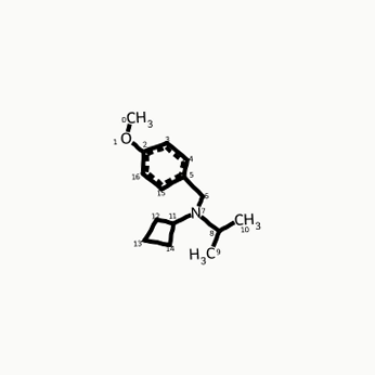 COc1ccc(CN(C(C)C)C2CCC2)cc1